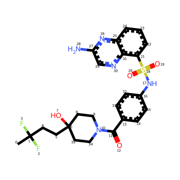 CC(F)(F)CCC1(O)CCN(C(=O)c2ccc(NS(=O)(=O)c3cccc4nc(N)cnc34)cc2)CC1